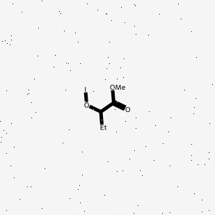 CCC(OI)C(=O)OC